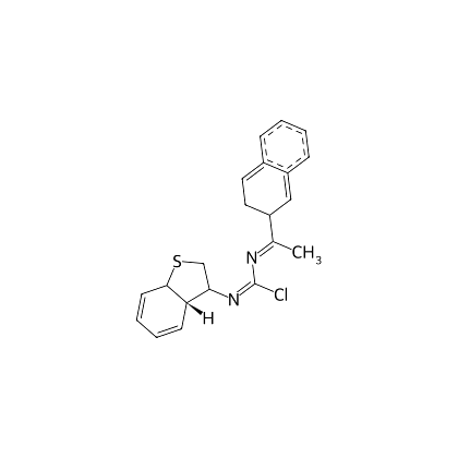 C/C(=N\C(Cl)=N/C1CSC2C=CC=C[C@@H]12)C1C=c2ccccc2=CC1